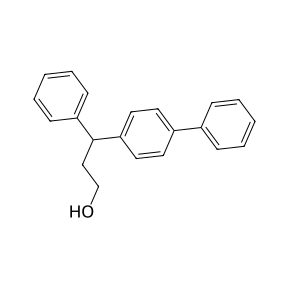 OCCC(c1ccccc1)c1ccc(-c2ccccc2)cc1